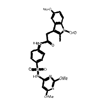 COc1ccc2c(c1)c(CC(=O)Nc1ccc(S(=O)(=O)Nc3cc(OC)nc(OC)n3)cc1)c(C)n2C=O